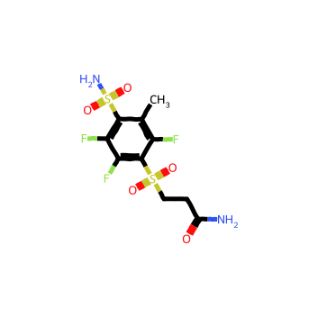 Cc1c(F)c(S(=O)(=O)CCC(N)=O)c(F)c(F)c1S(N)(=O)=O